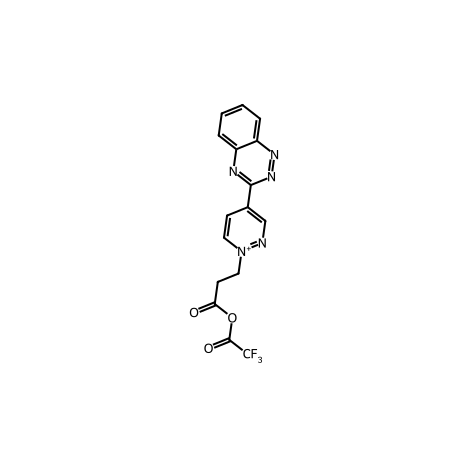 O=C(CC[n+]1ccc(-c2nnc3ccccc3n2)cn1)OC(=O)C(F)(F)F